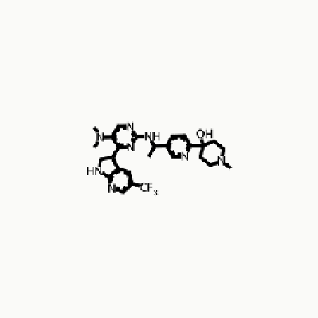 CC(Nc1ncc(N(C)C)c(C2CNc3ncc(C(F)(F)F)cc32)n1)c1ccc(C2(O)CCN(C)CC2)nc1